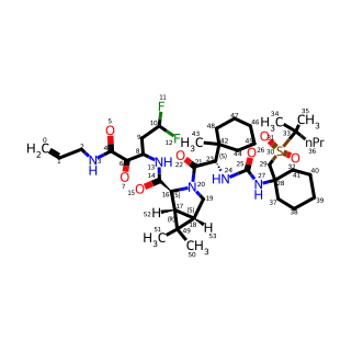 C=CCNC(=O)C(=O)C(CC(F)F)NC(=O)[C@@H]1[C@@H]2[C@H](CN1C(=O)[C@@H](NC(=O)NC1(CS(=O)(=O)C(C)(C)CCC)CCCCC1)C1(C)CCCCC1)C2(C)C